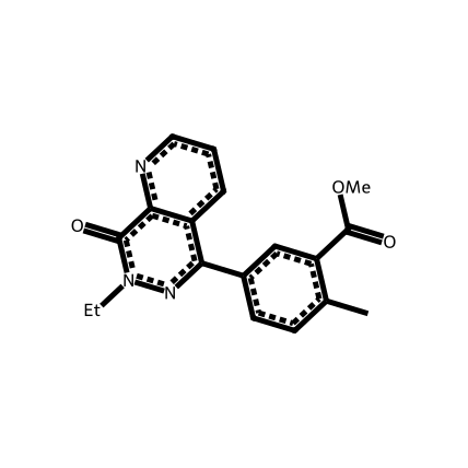 CCn1nc(-c2ccc(C)c(C(=O)OC)c2)c2cccnc2c1=O